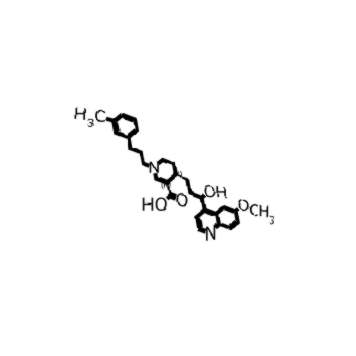 COc1ccc2nccc(C(O)CC[C@@H]3CCN(CCCc4cccc(C)c4)C[C@@H]3C(=O)O)c2c1